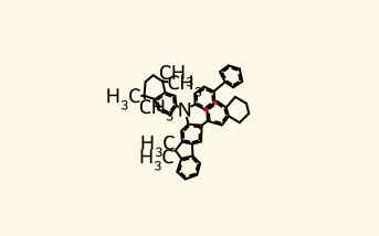 CC1(C)CCC(C)(C)c2cc(N(c3ccc(-c4ccccc4)cc3)c3cc4c(cc3-c3ccc5c(c3)CCCC5)-c3ccccc3C4(C)C)ccc21